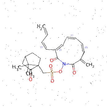 C=C\C=C/C1=C\C=C/C=C\C(=C)C(=O)N(OS(=O)(=O)CC23CCC(CC2=O)C3(C)C)C1=O